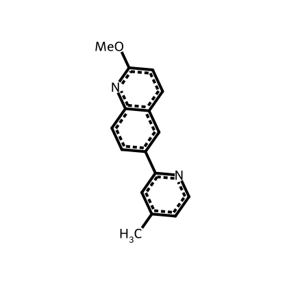 COc1ccc2cc(-c3cc(C)ccn3)ccc2n1